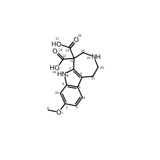 COc1ccc2c3c([nH]c2c1)C(C(=O)O)(C(=O)O)CNCC3